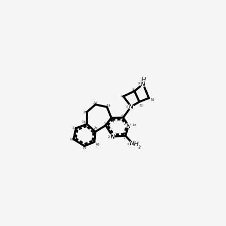 Nc1nc2c(c(N3CC4NCC43)n1)CCCc1ccccc1-2